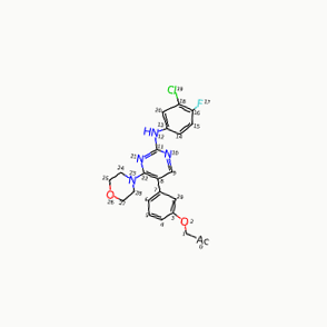 CC(=O)COc1cccc(-c2cnc(Nc3ccc(F)c(Cl)c3)nc2N2CCOCC2)c1